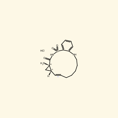 Cl.N[C@]12C[C@H]1/C=C/CCCCCNc1ccccc1S(=O)(=O)NC2=O